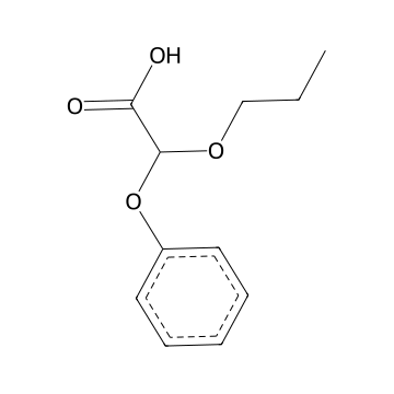 CCCOC(Oc1ccccc1)C(=O)O